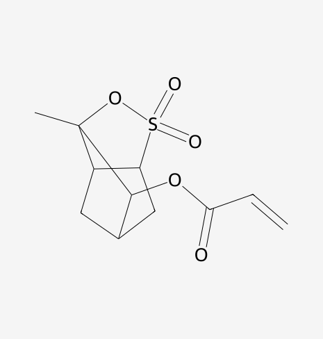 C=CC(=O)OC1C2CC3C(C2)S(=O)(=O)OC31C